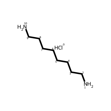 Cl.NCCCCCCCCN